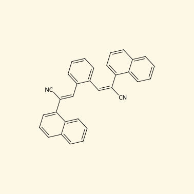 N#CC(=Cc1ccccc1C=C(C#N)c1cccc2ccccc12)c1cccc2ccccc12